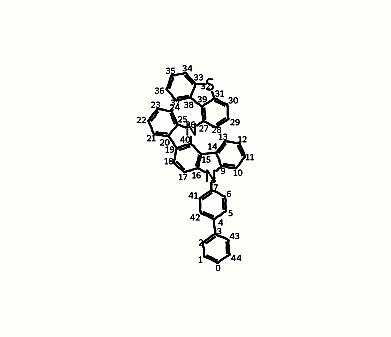 c1ccc(-c2ccc(-n3c4ccccc4c4c3ccc3c5ccccc5n(-c5cccc6sc7ccccc7c56)c34)cc2)cc1